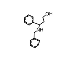 OCCC(NCc1ccccc1)c1ccccc1